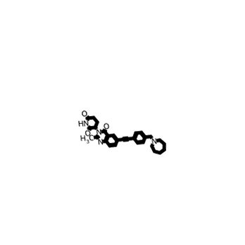 Cc1nc2ccc(C#Cc3ccc(CN4CCCCCC4)cc3)cc2c(=O)n1C1CCC(=O)NC1=O